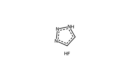 F.c1c[nH]nn1